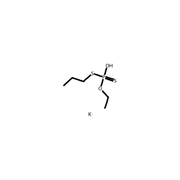 CCCSP(O)(=S)OCC.[K]